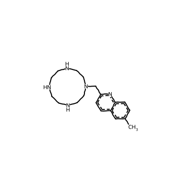 Cc1ccc2nc(CN3CCNCCNCCNCC3)ccc2c1